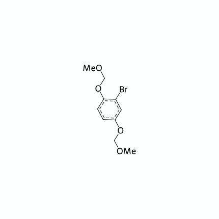 COCOc1ccc(OCOC)c(Br)c1